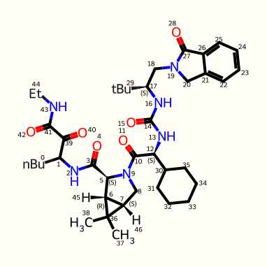 CCCCC(NC(=O)[C@@H]1[C@@H]2[C@H](CN1C(=O)[C@@H](NC(=O)N[C@H](CN1Cc3ccccc3C1=O)C(C)(C)C)C1CCCCC1)C2(C)C)C(=O)C(=O)NCC